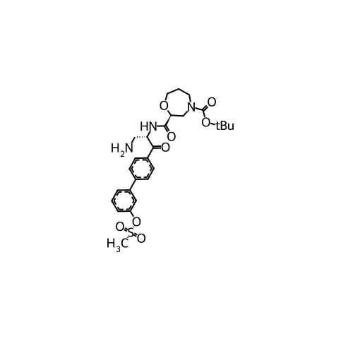 CC(C)(C)OC(=O)N1CCCO[C@H](C(=O)N[C@@H](CN)C(=O)c2ccc(-c3cccc(OS(C)(=O)=O)c3)cc2)C1